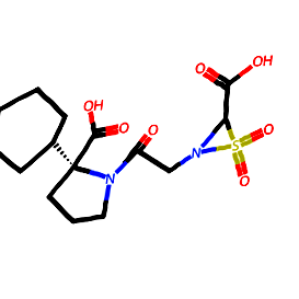 O=C(O)C1N(CC(=O)N2CCC[C@]2(C(=O)O)C2CCCCC2)S1(=O)=O